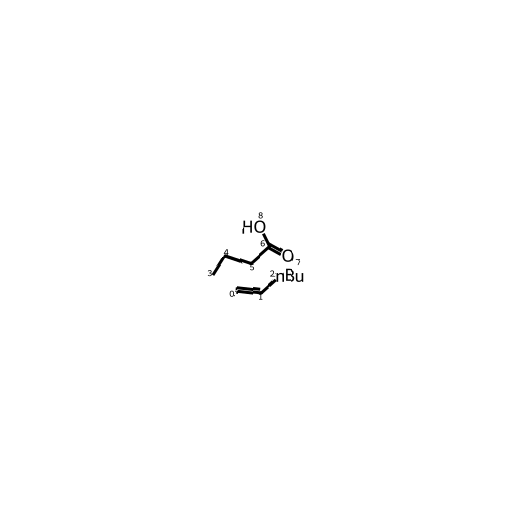 C=CCCCC.CCCC(=O)O